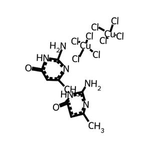 Cc1cc(=O)[nH]c(N)n1.Cc1cc(=O)[nH]c(N)n1.[Cl][Cu]([Cl])([Cl])[Cl].[Cl][Cu]([Cl])([Cl])[Cl]